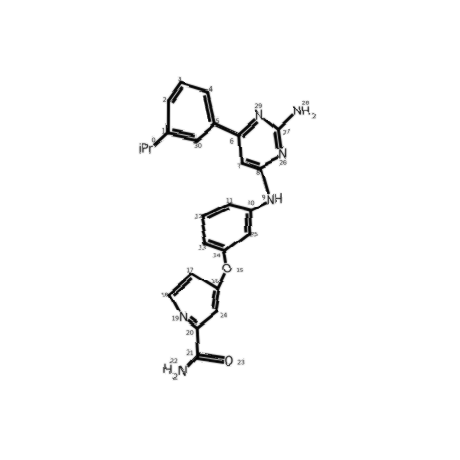 CC(C)c1cccc(-c2cc(Nc3cccc(Oc4ccnc(C(N)=O)c4)c3)nc(N)n2)c1